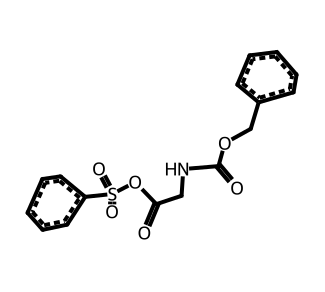 O=C(CNC(=O)OCc1ccccc1)OS(=O)(=O)c1ccccc1